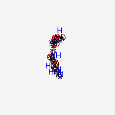 C[C@H]1CCCN1Cc1nc2cc(NC(=O)c3ccc(C(=O)NCCCCCOc4cccc5c4C(=O)N(C4CCC(=O)NC4=O)C5=O)cc3)ccc2[nH]1